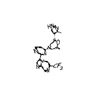 Cc1n[nH]cc1[C@H]1CN(c2ccnc(-c3cnc4cnc(C(F)(F)F)cn34)n2)C[C@H](C)O1